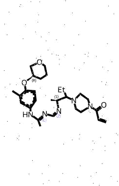 C=CC(=O)N1CCN(C(CC)[C@H](C)/N=C\N=C(/C)Nc2ccc(O[C@@H]3CCCOC3)c(C)c2)CC1